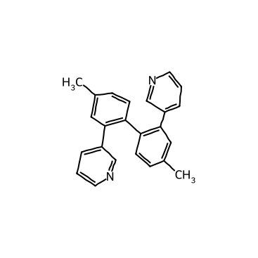 Cc1ccc(-c2ccc(C)cc2-c2cccnc2)c(-c2cccnc2)c1